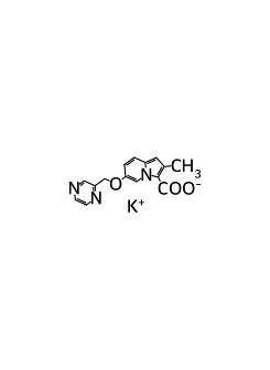 Cc1cc2ccc(OCc3cnccn3)cn2c1C(=O)[O-].[K+]